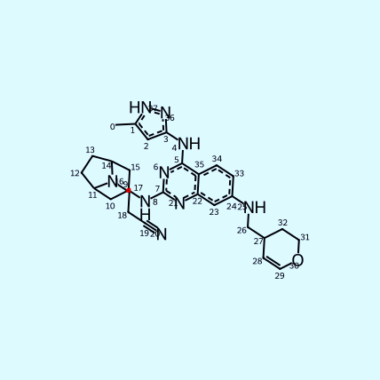 Cc1cc(Nc2nc(NC3CC4CCC(C3)N4CCC#N)nc3cc(NCC4C=COCC4)ccc23)n[nH]1